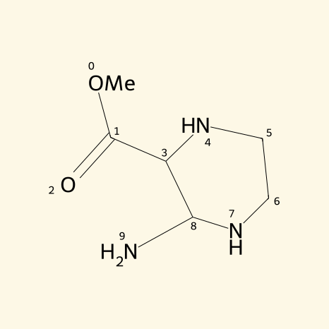 COC(=O)C1NCCNC1N